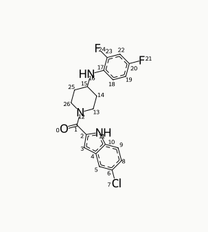 O=C(c1cc2cc(Cl)ccc2[nH]1)N1CCC(Nc2ccc(F)cc2F)CC1